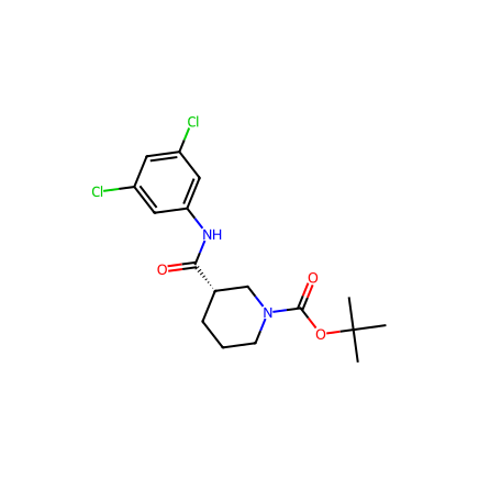 CC(C)(C)OC(=O)N1CCC[C@H](C(=O)Nc2cc(Cl)cc(Cl)c2)C1